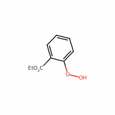 CCOC(=O)c1ccccc1OO